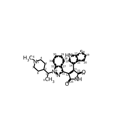 CC(C1CCN(C)CC1)n1nc(C2=C(c3c[nH]c4sccc34)C(=O)NC2=O)c2ccccc21